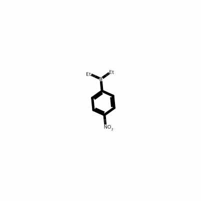 CCB(CC)c1ccc([N+](=O)[O-])cc1